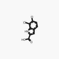 O=C(O)c1cc2ccc(Cl)c(Cl)c2[nH]1